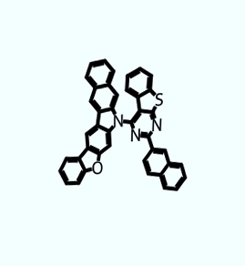 c1ccc2cc(-c3nc(-n4c5cc6ccccc6cc5c5cc6c(cc54)oc4ccccc46)c4c(n3)sc3ccccc34)ccc2c1